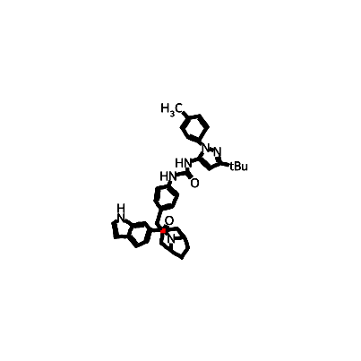 Cc1ccc(-n2nc(C(C)(C)C)cc2NC(=O)Nc2ccc(CC3CC4CCC(C3)N4C(=O)c3ccc4cc[nH]c4c3)cc2)cc1